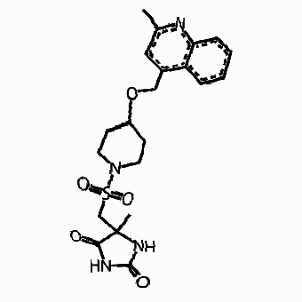 Cc1cc(COC2CCN(S(=O)(=O)CC3(C)NC(=O)NC3=O)CC2)c2ccccc2n1